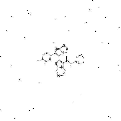 Fc1ccc(-c2nc3sccn3c2-c2nc3cnccn3c2NCc2ccccc2)cc1